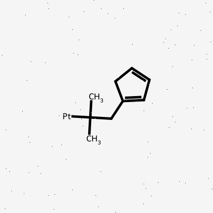 C[C](C)([Pt])CC1=CC=CC1